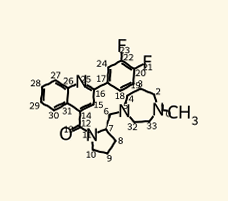 CN1CCCN(C[C@H]2CCCN2C(=O)c2cc(-c3ccc(F)c(F)c3)nc3ccccc23)CC1